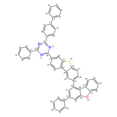 c1ccc(-c2ccc(-c3nc(-c4ccccc4)nc(-c4ccc5c(c4)sc4ccc(-c6cc(-c7ccccc7)cc7oc8ccccc8c67)cc45)n3)cc2)cc1